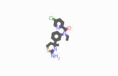 CCN(C(=O)c1ccc(Cl)cn1)c1cccc(C2(C)CCSC(N)=N2)c1